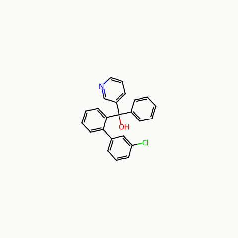 OC(c1ccccc1)(c1cccnc1)c1ccccc1-c1cccc(Cl)c1